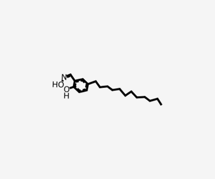 CCCCCCCCCCCCc1ccc(O)c(/C=N\O)c1